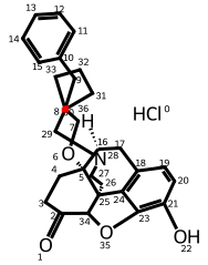 Cl.O=C1CC[C@@]2(OCCCc3ccccc3)[C@H]3Cc4ccc(O)c5c4[C@@]2(CCN3CC2CCC2)C1O5